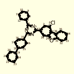 Clc1cc(-c2nc(-c3ccccc3)nc(-c3ccc(-c4ccccc4)cc3)n2)cc2oc3ccccc3c12